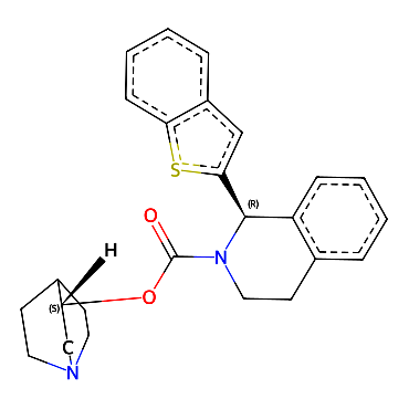 O=C(O[C@@H]1CN2CCC1CC2)N1CCc2ccccc2[C@@H]1c1cc2ccccc2s1